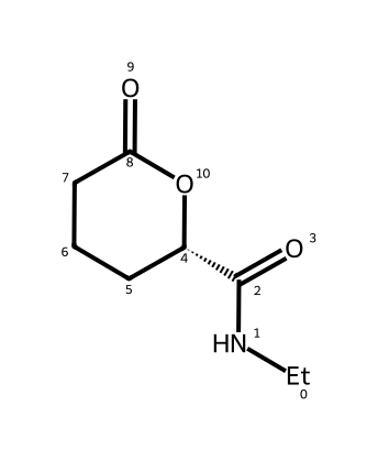 CCNC(=O)[C@@H]1CCCC(=O)O1